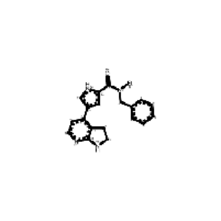 CCN(Cc1ccccc1)C(=O)c1cc(-c2ccnc3c2CCN3)c[nH]1